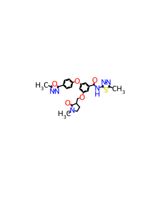 Cc1nnc(-c2ccc(Oc3cc(OCC4CCN(C)C4=O)cc(C(=O)Nc4nnc(C)s4)c3)cc2)o1